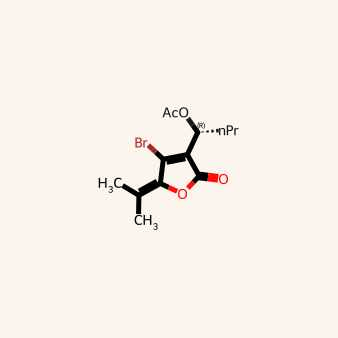 CCC[C@@H](OC(C)=O)C1=C(Br)C(=C(C)C)OC1=O